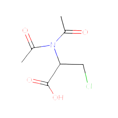 CC(=O)N(C(C)=O)C(CCl)C(=O)O